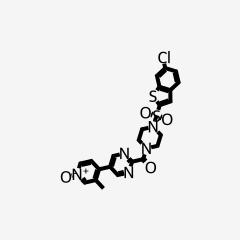 Cc1c[n+]([O-])ccc1-c1cnc(C(=O)N2CCN(S(=O)(=O)c3cc4ccc(Cl)cc4s3)CC2)nc1